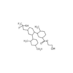 CC1CCC(C(=O)OCCO)CC1C1CCC(CC(O)(F)C(F)(F)F)CC1C1CCC(C(=O)O)CC1C